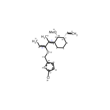 C=C[C@@H]1CCC/C(=C(C)\C(=C/C)OCc2ccc(Cl)s2)[C@@H]1OC